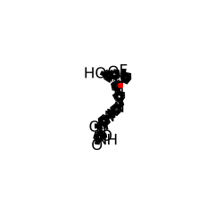 O=C1CCC(N2Cc3cc(N4CC5(CCN(CC6CCN(c7ccc([C@@H]8c9ccc(O)cc9OC[C@@H]8c8ccccc8F)cc7)CC6)CC5)C4)ccc3C2=O)C(=O)N1